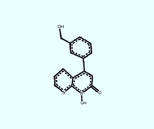 O=c1cc(-c2cccc(CO)c2)c2cccnc2n1O